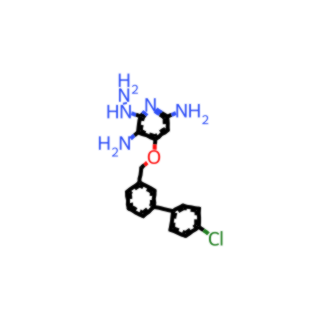 NNc1nc(N)cc(OCc2cccc(-c3ccc(Cl)cc3)c2)c1N